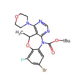 CC1Oc2c(F)cc(Br)cc2N(C(=O)OC(C)(C)C)c2ncnc(N3CCOCC3)c21